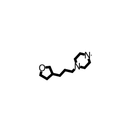 C(CC1CCOC1)CN1CC[N]CC1